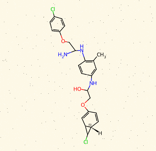 Cc1cc(NC(O)COC2=CC3C(Cl)[C@H]3C=C2)ccc1NC(N)COc1ccc(Cl)cc1